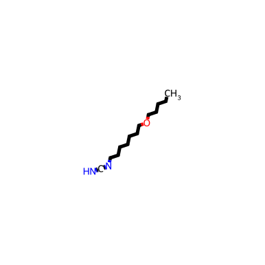 CCCCCOCCCCCCCN=C=N